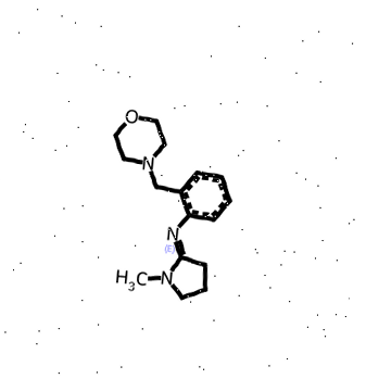 CN1CCC/C1=N\c1ccccc1CN1CCOCC1